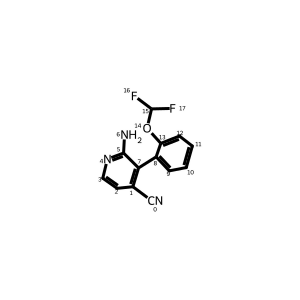 N#Cc1ccnc(N)c1-c1ccccc1OC(F)F